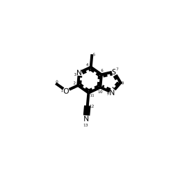 COc1nc(C)c2scnc2c1C#N